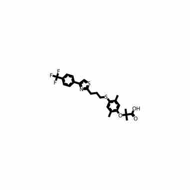 Cc1cc(SCCCc2nc(-c3ccc(C(F)(F)F)cc3)cs2)c(C)cc1OC(C)(C)C(=O)O